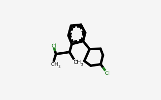 CC(Cl)C(C)c1ccccc1C1CCC(Cl)CC1